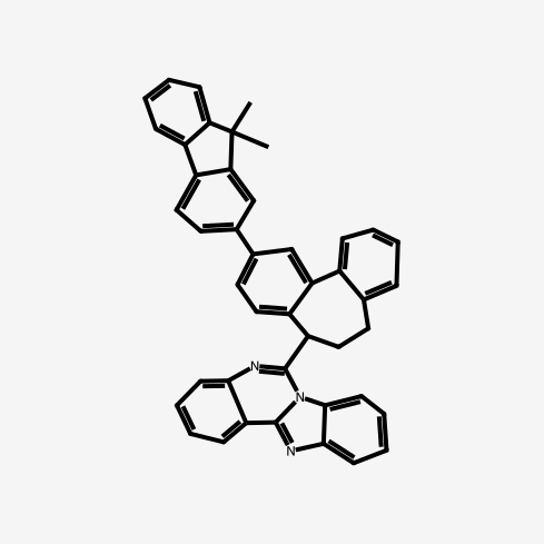 CC1(C)c2ccccc2-c2ccc(-c3ccc4c(c3)-c3ccccc3CCC4c3nc4ccccc4c4nc5ccccc5n34)cc21